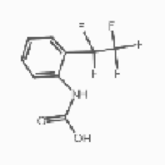 O=C(O)Nc1ccccc1C(F)(F)C(F)(F)F